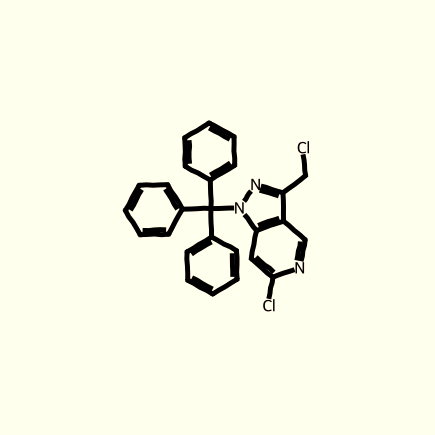 ClCc1nn(C(c2ccccc2)(c2ccccc2)c2ccccc2)c2cc(Cl)ncc12